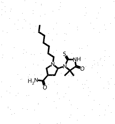 CCCCCCCN1CC(C(N)=O)CC1N1C(=S)NC(=O)C1(C)C